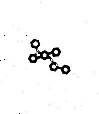 C1=CCCC(n2c3ccccc3c3cc4c(cc32)c2ccccc2n4-c2cccc(-c3ccccc3)n2)=C1